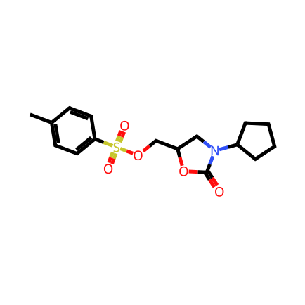 Cc1ccc(S(=O)(=O)OCC2CN(C3CCCC3)C(=O)O2)cc1